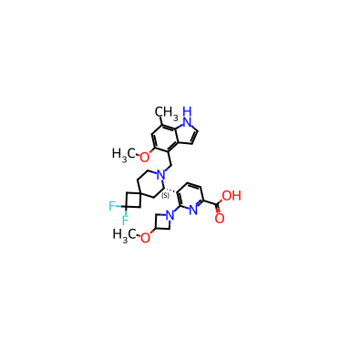 COc1cc(C)c2[nH]ccc2c1CN1CCC2(C[C@H]1c1ccc(C(=O)O)nc1N1CC(OC)C1)CC(F)(F)C2